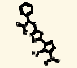 Cn1c([N+](=O)[O-])cnc1-c1nnc(SC(c2ccccc2)[N+](=O)[O-])s1